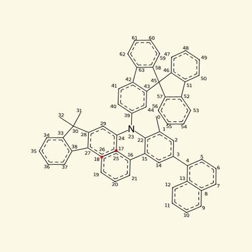 Cc1cc(-c2cccc3ccccc23)cc(-c2ccccc2)c1N(c1ccc2c(c1)C(C)(C)c1ccccc1-2)c1ccc2c(c1)C1(c3ccccc3-c3ccccc31)c1ccccc1-2